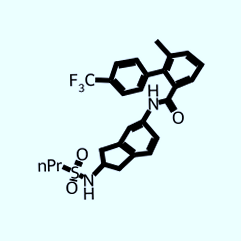 CCCS(=O)(=O)NC1Cc2ccc(NC(=O)c3cccc(C)c3-c3ccc(C(F)(F)F)cc3)cc2C1